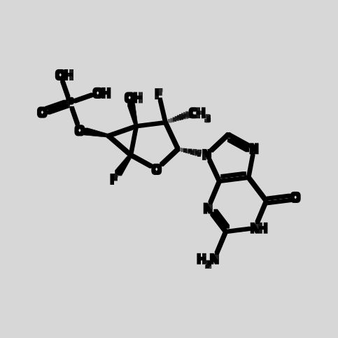 C[C@]1(F)[C@H](n2cnc3c(=O)[nH]c(N)nc32)O[C@]2(F)[C@@H](OP(=O)(O)O)[C@]12O